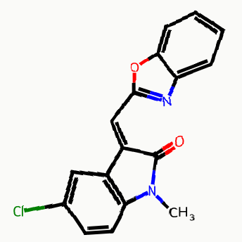 CN1C(=O)C(=Cc2nc3ccccc3o2)c2cc(Cl)ccc21